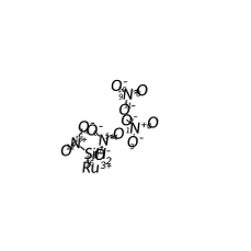 O=[N+]([O-])[O-].O=[N+]([O-])[O-].O=[N+]([O-])[O-].O=[N+]([O-])[SiH2][Ru+3]